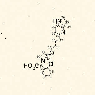 O=C(O)C(c1ccccc1Cl)N1CC[C@@H](OCCCCc2ccc3c(n2)CCCN3)C1